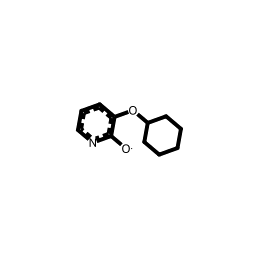 [O]c1ncccc1OC1CCCCC1